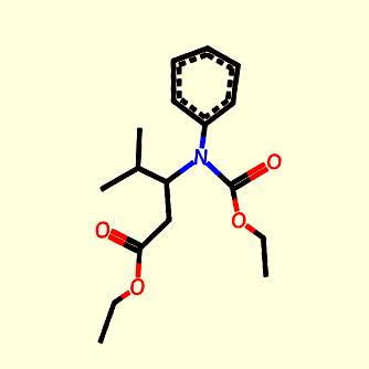 CCOC(=O)CC(C(C)C)N(C(=O)OCC)c1ccccc1